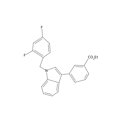 CCOC(=O)c1cccc(-c2cn(Cc3ccc(F)cc3F)c3ccccc23)c1